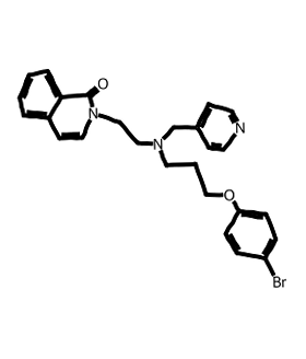 O=c1c2ccccc2ccn1CCN(CCCOc1ccc(Br)cc1)Cc1ccncc1